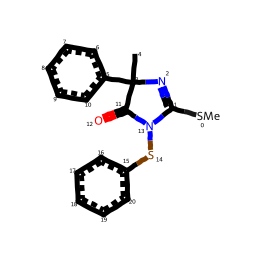 CSC1=NC(C)(c2ccccc2)C(=O)N1Sc1ccccc1